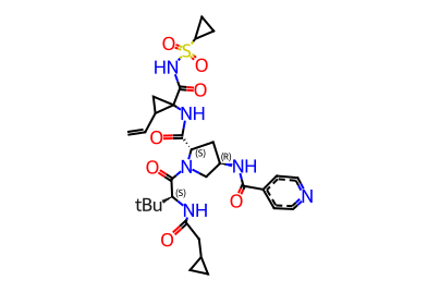 C=CC1CC1(NC(=O)[C@@H]1C[C@@H](NC(=O)c2ccncc2)CN1C(=O)[C@@H](NC(=O)CC1CC1)C(C)(C)C)C(=O)NS(=O)(=O)C1CC1